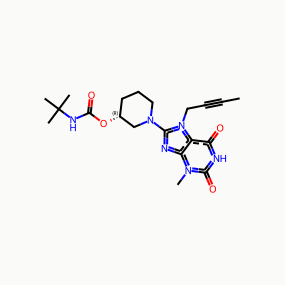 CC#CCn1c(N2CCC[C@@H](OC(=O)NC(C)(C)C)C2)nc2c1c(=O)[nH]c(=O)n2C